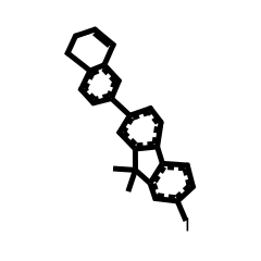 CC1(C)c2cc(I)ccc2-c2ccc(-c3ccc4c(c3)C=CCC4)cc21